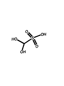 O=S(=O)(O)C(O)O